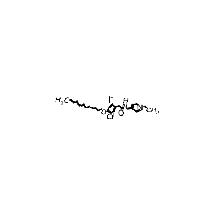 CCCCCCCCCCCCOc1ccc(CC(=O)NCc2cc[n+](CC)cc2)cc1Cl.[I-]